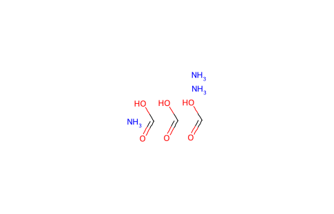 N.N.N.O=CO.O=CO.O=CO